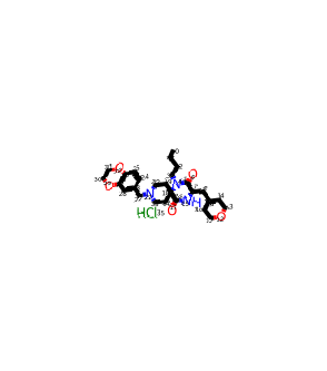 CCCCN1C(=O)C(CC2CCOCC2)NC(=O)C12CCN(Cc1ccc3c(c1)OCCO3)CC2.Cl